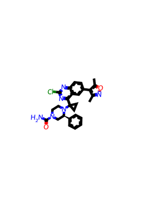 Cc1noc(C)c1-c1ccc2nc(Cl)nc(C3(N4CCN(C(N)=O)C[C@@H]4c4ccccc4)CC3)c2c1